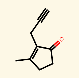 C#CCC1=C(C)CCC1=O